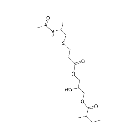 CCC(C)C(=O)OCC(O)COC(=O)CCSCC(C)NC(C)=O